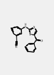 N#Cc1cccc(Nc2ncc(C(=O)c3ccccc3)s2)c1